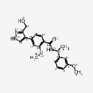 COc1cccc(C(C)NC(=O)c2ccc(-c3c[nH]nc3CO)cc2OC)c1